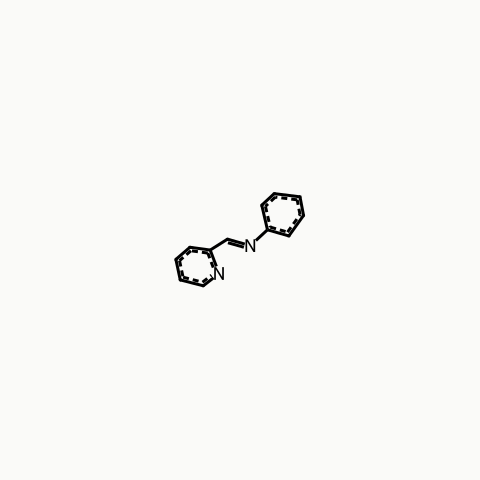 C(=N\c1ccccc1)/c1ccccn1